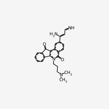 CN(C)CCCn1c2c(c3cc(/C(N)=C/C=N)ccc3c1=O)C(=O)c1ccccc1-2